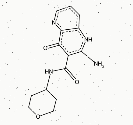 Nc1[nH]c2cccnc2c(=O)c1C(=O)NC1CCOCC1